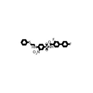 O=C(NS(=O)(=O)c1ccc(NCCSc2ccccc2)c([N+](=O)[O-])c1)c1ccc(-c2ccc(F)cc2)cc1F